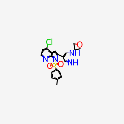 Cc1ccc(S(=O)(=O)n2c(/C(C=N)=C/NC3COC3)cc3c(Cl)ccnc32)cc1